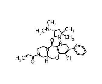 C=CC(=O)N1CCN2C(=O)C3=C(OC[C@H]2C1)C(Cl)=C(c1ccccc1)CN3N1C[C@H](N(C)C)CC1(C)C